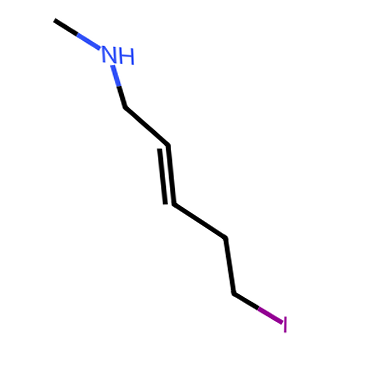 CNC/C=C/CCI